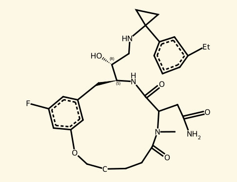 CCc1cccc(C2(NC[C@@H](O)[C@@H]3Cc4cc(F)cc(c4)OCCCCC(=O)N(C)C(CC(N)=O)C(=O)N3)CC2)c1